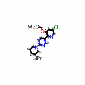 COCOc1cc(Cl)cnc1-c1cnc(N2CCC[C@@H](C(C)C)C2)nn1